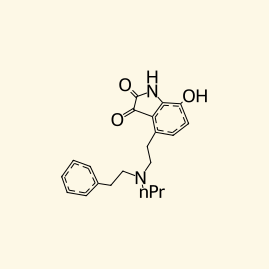 CCCN(CCc1ccccc1)CCc1ccc(O)c2c1C(=O)C(=O)N2